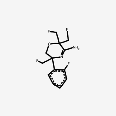 NC1=NC(CF)(c2c[c]ccc2F)COC1(CF)CF